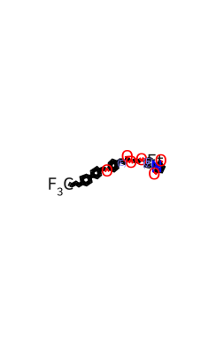 CC/C=C(\C=C/CN1C(=O)C=CC1=O)OCCOC(=O)/C=C/c1ccc(OCC2CCC(C3CCC(CCCC(F)(F)F)CC3)CC2)cc1